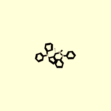 C[C@@H](C1=CC=C[C@@H]1P(c1ccccc1)c1ccccc1)N(C)P(c1ccccc1)c1ccccc1